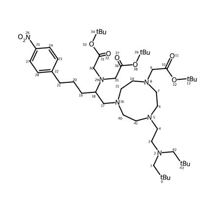 CC(C)(C)CN(CCN1CCN(CC(=O)OC(C)(C)C)CCN(CC(CCCc2ccc([N+](=O)[O-])cc2)N(CC(=O)OC(C)(C)C)CC(=O)OC(C)(C)C)CC1)CC(C)(C)C